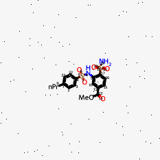 CCCc1ccc(S(=O)(=O)Nc2cc(C(=O)OC)ccc2S(N)(=O)=O)cc1